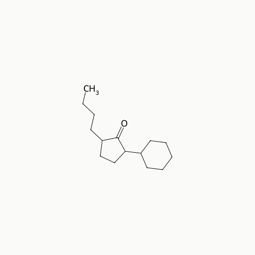 CCCCC1CCC(C2CCCCC2)C1=O